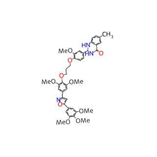 COc1cc(C2NC(=O)c3cc(C)ccc3N2)ccc1OCCCOc1c(OC)cc(-c2cc(-c3cc(OC)c(OC)c(OC)c3)on2)cc1OC